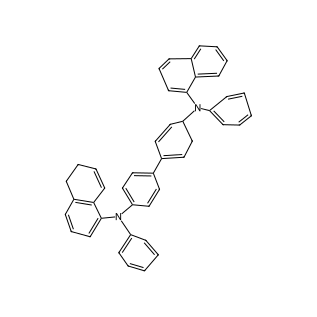 C1=Cc2c(cccc2N(c2ccccc2)c2ccc(C3=CCC(N(c4ccccc4)c4cccc5ccccc45)C=C3)cc2)CC1